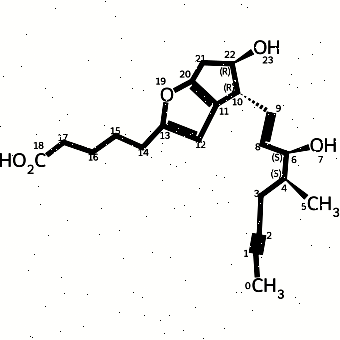 CC#CC[C@H](C)[C@H](O)C=C[C@@H]1c2cc(CCCCC(=O)O)oc2C[C@H]1O